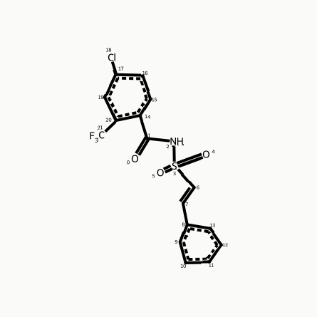 O=C(NS(=O)(=O)/C=C/c1ccccc1)c1ccc(Cl)cc1C(F)(F)F